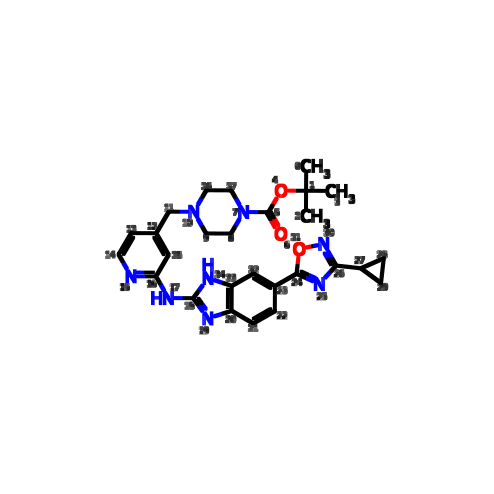 CC(C)(C)OC(=O)N1CCN(Cc2ccnc(Nc3nc4ccc(-c5nc(C6CC6)no5)cc4[nH]3)c2)CC1